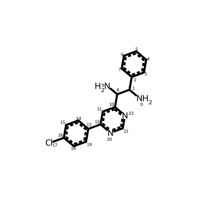 NC(c1ccccc1)C(N)c1cc(-c2ccc(Cl)cc2)ncn1